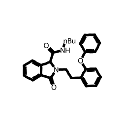 CCCCNC(=O)C1c2ccccc2C(=O)N1CCc1ccccc1Oc1ccccc1